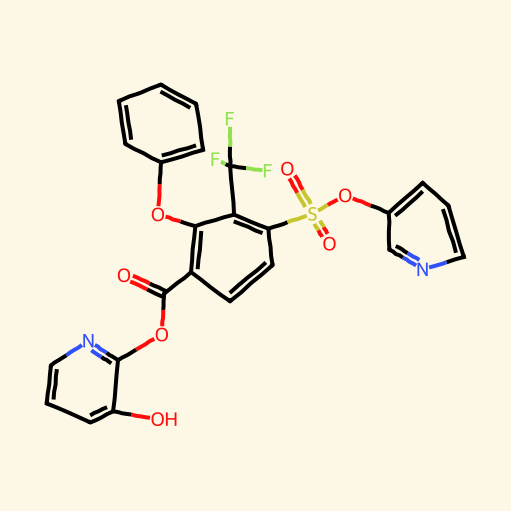 O=C(Oc1ncccc1O)c1ccc(S(=O)(=O)Oc2cccnc2)c(C(F)(F)F)c1Oc1ccccc1